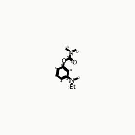 CCN(C)c1cccc(OC(=O)N(C)C)c1